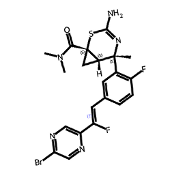 CN(C)C(=O)[C@]12C[C@H]1[C@@](C)(c1cc(/C=C(\F)c3cnc(Br)cn3)ccc1F)N=C(N)S2